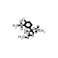 CN=C1SCC(OS(C)(=O)=O)(c2ccc(Cl)c(S(N)(=O)=O)c2)N1C